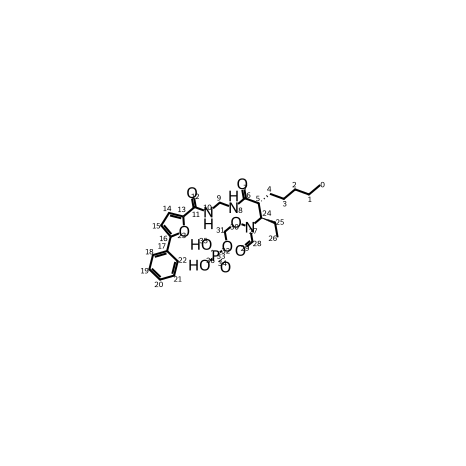 CCCCC[C@@H](C(=O)NCNC(=O)c1ccc(-c2ccccc2)o1)[C@@H](CC)N(C=O)OCOP(=O)(O)O